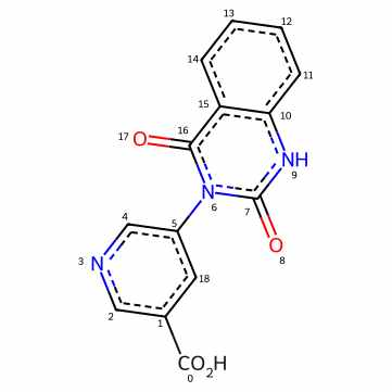 O=C(O)c1cncc(-n2c(=O)[nH]c3ccccc3c2=O)c1